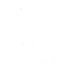 NS(=O)(=O)c1ccc(C2=CN(c3ccc(F)c(C(=O)c4c[nH]c5ncc(Cl)cc45)c3F)CO2)cc1